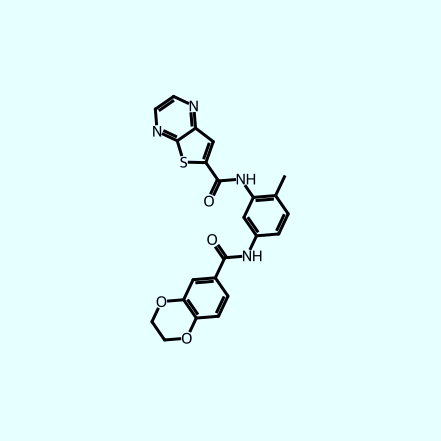 Cc1ccc(NC(=O)c2ccc3c(c2)OCCO3)cc1NC(=O)c1cc2nccnc2s1